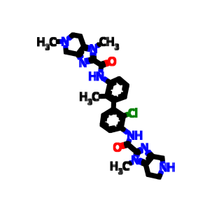 Cc1c(NC(=O)c2nc3c(n2C)CCN(C)C3)cccc1-c1cccc(NC(=O)c2nc3c(n2C)CCNC3)c1Cl